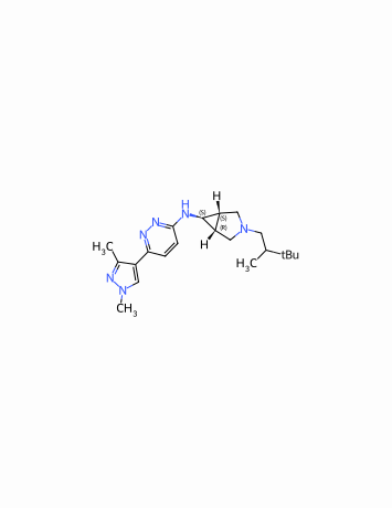 Cc1nn(C)cc1-c1ccc(N[C@H]2[C@@H]3CN(CC(C)C(C)(C)C)C[C@@H]32)nn1